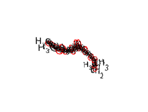 C=CC(=O)OCC(C)(C)COC(=O)CCC(=O)OCCc1ccc(OC(=O)C2CCC(C(=O)OC(=O)C3CCC(C(=O)Oc4ccc(CCOC(=O)CCC(=O)OCC(C)(C)COC(=O)C=C)cc4)CC3)CC2)cc1